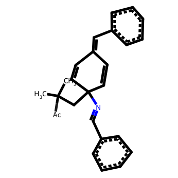 CC(=O)C(C)(C)CC1(N=Cc2ccccc2)C=CC(=Cc2ccccc2)C=C1